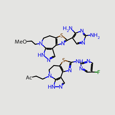 CC(=O)CCN1CCc2sc(Nc3ncc(F)cn3)nc2-c2cn[nH]c21.COCCN1CCc2sc(-c3cnc(N)nc3N)nc2-c2cn[nH]c21